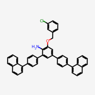 Nc1c(OCc2cccc(Cl)c2)cc(-c2ccc(-c3cccc4ccccc34)cc2)cc1-c1ccc(-c2cccc3ccccc23)cc1